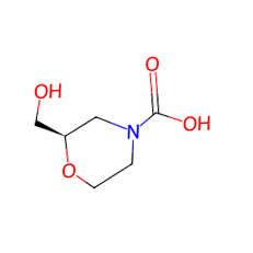 O=C(O)N1CCO[C@@H](CO)C1